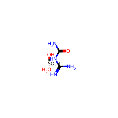 N=C(N)NC(N)=O.O.O=S(=O)(O)O